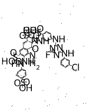 Nc1c(NNc2ccc(S(=O)(=O)O)cc2)c(S(=O)(=O)O)cc2c1C(=O)/C(=N\Nc1cc(Nc3nc(F)nc(Nc4cccc(Cl)c4)n3)ccc1S(=O)(=O)O)C(S(=O)(=O)O)=C2